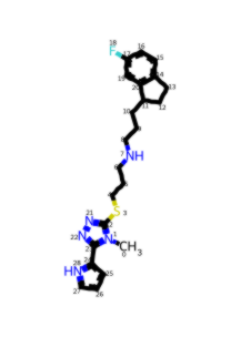 Cn1c(SCCCNCCCC2CCc3ccc(F)cc32)nnc1-c1ccc[nH]1